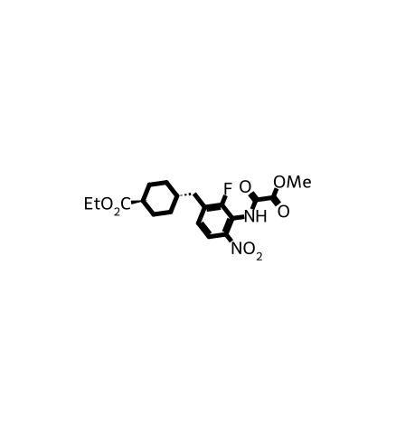 CCOC(=O)[C@H]1CC[C@H](Cc2ccc([N+](=O)[O-])c(NC(=O)C(=O)OC)c2F)CC1